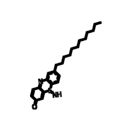 CCCCCCCCCCCCc1ccc2c(c1)N=C1C=CC(=O)C=C1S2=N